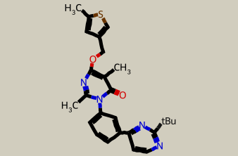 Cc1cc(COc2nc(C)n(-c3cccc(-c4ccnc(C(C)(C)C)n4)c3)c(=O)c2C)cs1